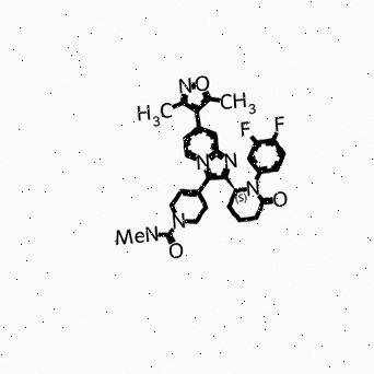 CNC(=O)N1CC=C(c2c([C@@H]3CCCC(=O)N3c3ccc(F)c(F)c3)nc3cc(-c4c(C)noc4C)ccn23)CC1